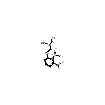 O=[N+]([O-])c1cccc(NC[C@@H](O)CO)c1[N+](=O)[O-]